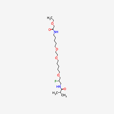 CCOCC(=O)NCCCCCOCCOCCCCCOCC(F)CNC(=O)C(C)C